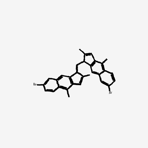 CC1=Cc2c(cc3cc(Br)ccc3c2C)C1CC1C(C)=Cc2c1cc1cc(Br)ccc1c2C